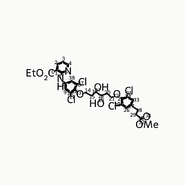 CCOC(=O)c1cccnc1Nc1cc(Cl)c(OCC[C@H](O)[C@@H](O)CCOc2c(Cl)cc(CCC(=O)OC)cc2Cl)c(Cl)c1